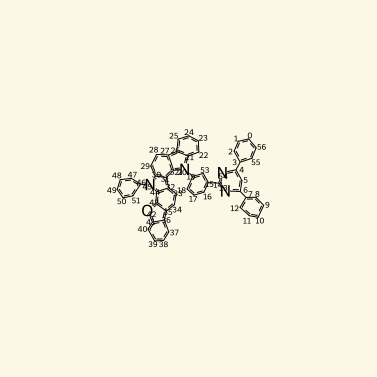 c1ccc(-c2cc(-c3ccccc3)nc(-c3cccc(-n4c5ccccc5c5ccc6c(c7ccc8c9ccccc9oc8c7n6-c6ccccc6)c54)c3)n2)cc1